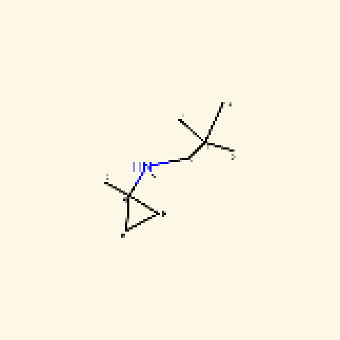 CC(C)(C)CNC1(C)CC1